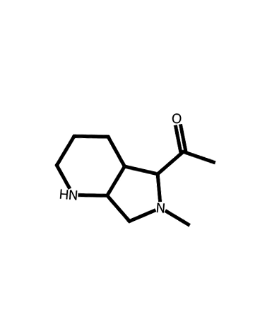 CC(=O)C1C2CCCNC2CN1C